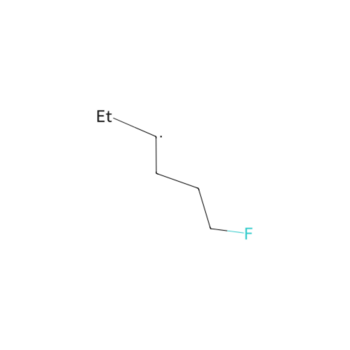 CC[CH]CCCF